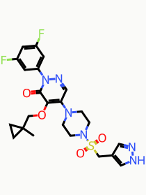 CC1(COc2c(N3CCN(S(=O)(=O)Cc4cn[nH]c4)CC3)cnn(-c3cc(F)cc(F)c3)c2=O)CC1